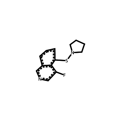 Fc1cncc2cccc(SN3CCCC3)c12